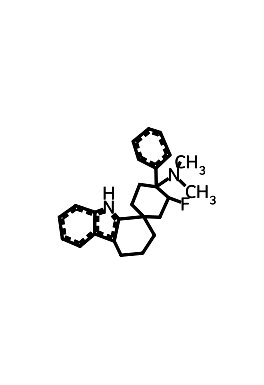 CN(C)C1(c2ccccc2)CCC2(CCCc3c2[nH]c2ccccc32)CC1F